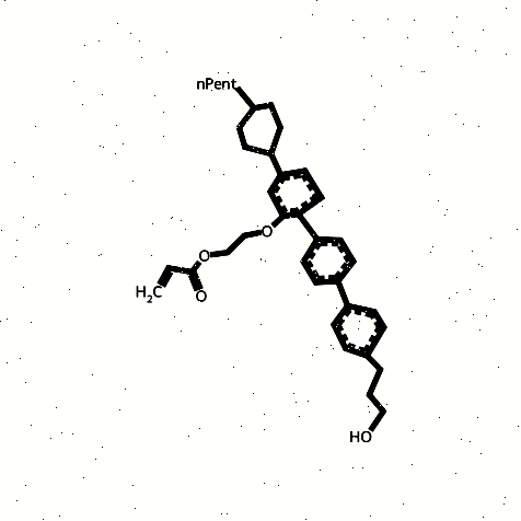 C=CC(=O)OCCOc1cc(C2CCC(CCCCC)CC2)ccc1-c1ccc(-c2ccc(CCCO)cc2)cc1